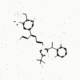 CC(c1c(Cl)cccc1Cl)c1nc(C(C)(C)O)cn1/C=C/C=C(\C=C\F)c1cc(F)c(CO)c(S(C)(=O)=O)c1